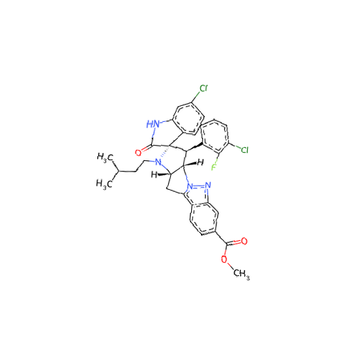 COC(=O)c1ccc2c3n(nc2c1)[C@@H]1[C@H](C3)N(CCC(C)C)[C@@]2(C(=O)Nc3cc(Cl)ccc32)[C@H]1c1cccc(Cl)c1F